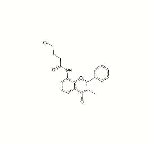 Cc1c(-c2ccccc2)oc2c(NC(=O)CCCCl)cccc2c1=O